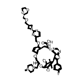 Cc1c(Cl)c2c(Cl)c(C)c1-c1c(-c3ccc(F)cc3)sc3ncnc(c13)O[C@@H](C(=O)O)Cc1cc(ccc1OCc1ccnc(N3CC(COC[C@@H]4COCCO4)C3)n1)OC[C@@H](CN1CCN(C)CC1)O2